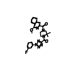 COc1nc(C(=O)N2CCN(C(=O)c3nnn(-c4cccc(F)c4)n3)C(C)(C)C2)cc2ccccc12